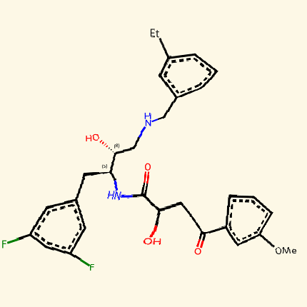 CCc1cccc(CNC[C@@H](O)[C@H](Cc2cc(F)cc(F)c2)NC(=O)C(O)CC(=O)c2cccc(OC)c2)c1